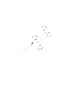 COCCNC(=O)CCCC#Cc1cccc2nc(Cn3nc(-c4cccc(O)c4)c4c(N)ncnc43)n(Cc3ccccc3Cl)c(=O)c12